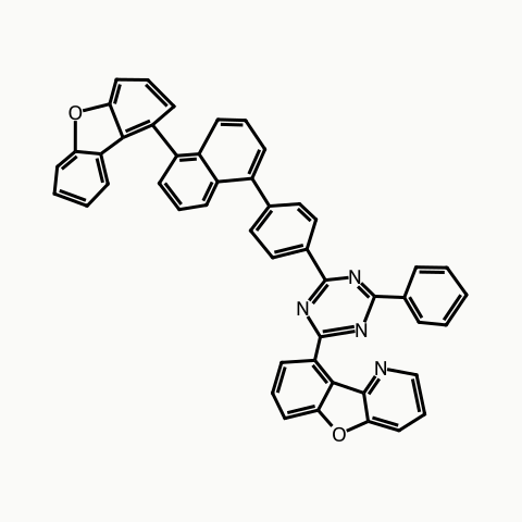 c1ccc(-c2nc(-c3ccc(-c4cccc5c(-c6cccc7oc8ccccc8c67)cccc45)cc3)nc(-c3cccc4oc5cccnc5c34)n2)cc1